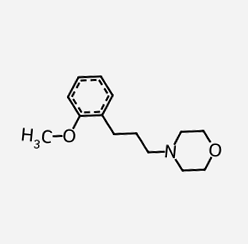 COc1ccccc1CCCN1CCOCC1